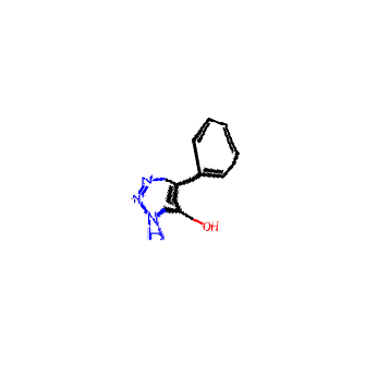 OC1=C(c2ccccc2)N=[N+]N1